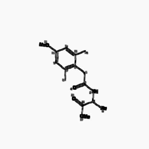 CCC(C)C(NC(=O)Cc1c(C)cc(OC)cc1C)C(=O)OC